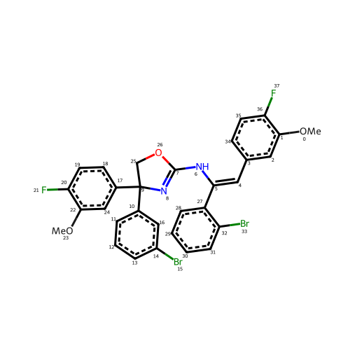 COc1cc(C=C(NC2=NC(c3cccc(Br)c3)(c3ccc(F)c(OC)c3)CO2)c2ccccc2Br)ccc1F